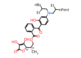 CCCCCC(CC)CN(CC(CC)CCCC)c1ccc(C(=O)c2ccccc2C(=O)OC[C@H](C)[C@H]2OC(=O)C(O)=C2O)c(O)c1